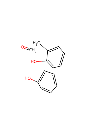 C=O.Cc1ccccc1O.Oc1ccccc1